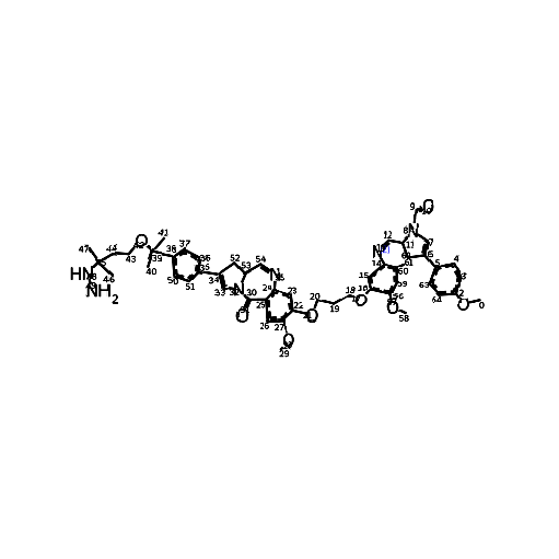 COc1ccc(C2=CN(C=O)C(/C=N\c3cc(OCCCOc4cc5c(cc4OC)C(=O)N4C=C(c6ccc(C(C)(C)OCCC(C)(C)NN)cc6)CC4C=N5)c(OC)cc3C)C2)cc1